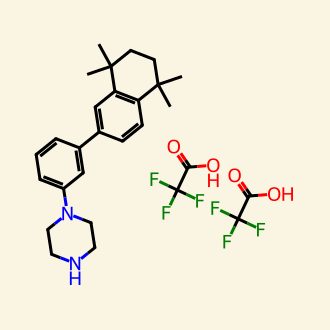 CC1(C)CCC(C)(C)c2cc(-c3cccc(N4CCNCC4)c3)ccc21.O=C(O)C(F)(F)F.O=C(O)C(F)(F)F